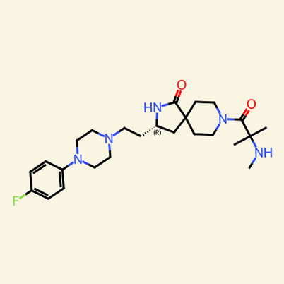 CNC(C)(C)C(=O)N1CCC2(CC1)C[C@H](CCN1CCN(c3ccc(F)cc3)CC1)NC2=O